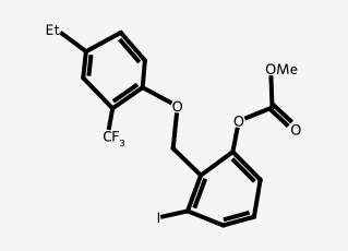 CCc1ccc(OCc2c(I)cccc2OC(=O)OC)c(C(F)(F)F)c1